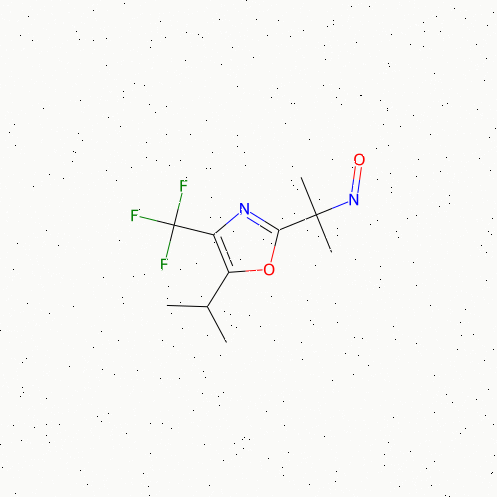 CC(C)c1oc(C(C)(C)N=O)nc1C(F)(F)F